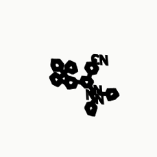 N#Cc1ccc(-c2cc(-c3ccc4c(c3)C(c3ccccc3)(c3ccccc3)c3ccccc3-4)cc(-c3nc(-c4ccccc4)nc(-c4ccccc4)n3)c2)cc1